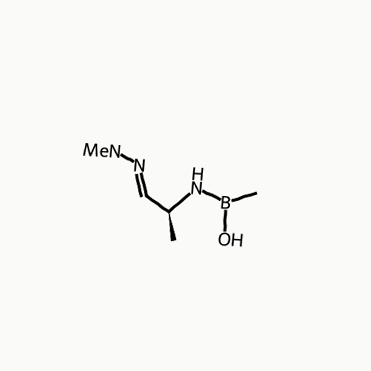 CN/N=C/[C@H](C)NB(C)O